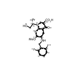 COc1nc2c(cc1NCc1c(F)cccc1F)c(=O)c(C(=O)O)cn2[C@H](CO)C(C)C